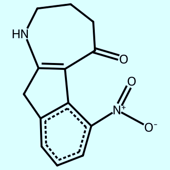 O=C1CCCNC2=C1c1c(cccc1[N+](=O)[O-])C2